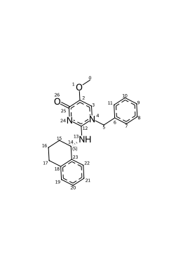 COc1cn(Cc2ccccc2)c(N[C@H]2CCCc3ccccc32)nc1=O